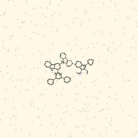 C=Cc1c(/C=C\C)c2cc(C3C=CC4=C(C3)C3C=CC=CC3N4c3cc(-c4nc(-c5ccccc5)cc(-c5ccccc5)n4)c4sc5ccccc5c4c3)ccc2n1-c1ccccc1